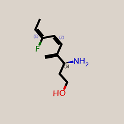 C=C(/C=C\C(F)=C/C)[C@@H](N)CCO